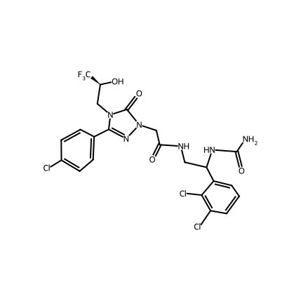 NC(=O)NC(CNC(=O)Cn1nc(-c2ccc(Cl)cc2)n(C[C@H](O)C(F)(F)F)c1=O)c1cccc(Cl)c1Cl